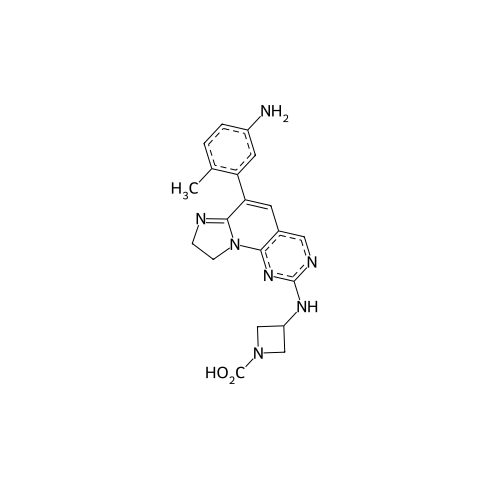 Cc1ccc(N)cc1C1=Cc2cnc(NC3CN(C(=O)O)C3)nc2N2CCN=C12